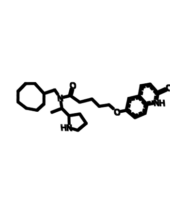 CC(C1CCCN1)N(CC1CCCCCCC1)C(=O)CCCCOc1ccc2[nH]c(=O)ccc2c1